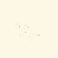 CCCC(C)(Pc1ccc(F)cc1/C=N/C)c1cc(Cc2ccccc2)cc(Cc2ccccc2)c1OCOC